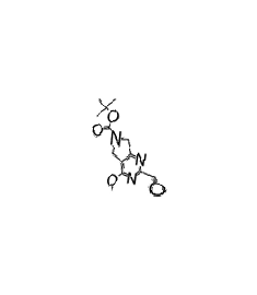 COc1nc(C=O)nc2c1CN(C(=O)OC(C)(C)C)C2